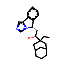 CCC1([C@@H](O)C[C@H]2c3ccccc3-c3cncn32)CC2CCCC(C2)C1